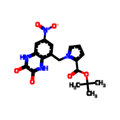 CC(C)(C)OC(=O)c1cccn1Cc1cc([N+](=O)[O-])cc2[nH]c(=O)c(=O)[nH]c12